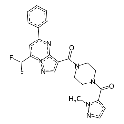 Cn1nccc1C(=O)N1CCN(C(=O)c2cnn3c(C(F)F)cc(-c4ccccc4)nc23)CC1